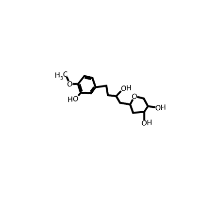 COc1ccc(CCC(O)CC2CC(O)C(O)CO2)cc1O